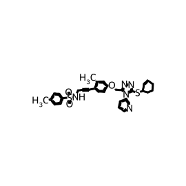 Cc1ccc(S(=O)(=O)NCC#Cc2ccc(OCc3nnc(SC4C=CCCC4)n3-c3cccnc3)cc2C)cc1